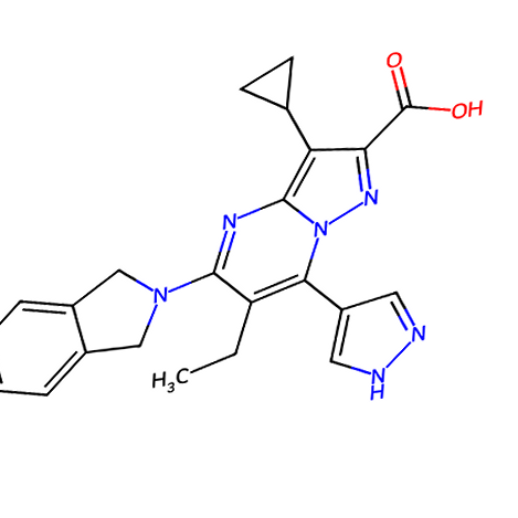 CCc1c(N2Cc3ccccc3C2)nc2c(C3CC3)c(C(=O)O)nn2c1-c1cn[nH]c1